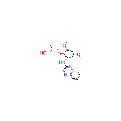 COc1cc(Nc2[c]nc3ccccc3n2)c(OCC(C)CO)c(OC)c1